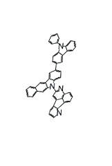 c1ccc(-n2c3ccccc3c3cc(-c4ccc5c(c4)c4cc6ccccc6cc4n5-c4cc5c6c(cccc6n4)-c4ncccc4-5)ccc32)cc1